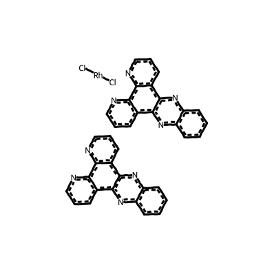 [Cl][Rh][Cl].c1ccc2nc3c4cccnc4c4ncccc4c3nc2c1.c1ccc2nc3c4cccnc4c4ncccc4c3nc2c1